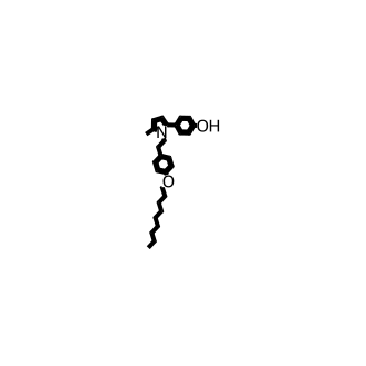 CCCCCCCCCOc1ccc(CCn2c(C)ccc2-c2ccc(O)cc2)cc1